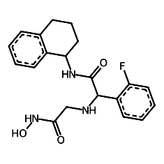 O=C(CNC(C(=O)NC1CCCc2ccccc21)c1ccccc1F)NO